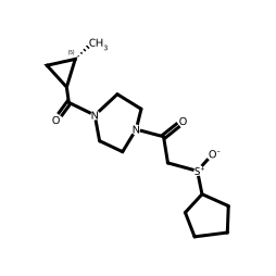 C[C@H]1CC1C(=O)N1CCN(C(=O)C[S+]([O-])C2CCCC2)CC1